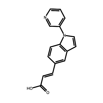 O=C(O)/C=C/c1ccc2c(ccn2-c2cccnc2)c1